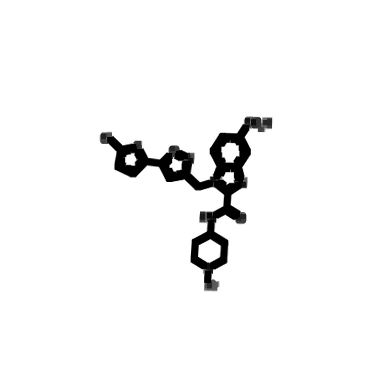 CC(C)N1CCC(NC(=O)c2nc3cc(C(=O)O)ccc3n2Cc2cc(-c3ccc(Cl)s3)on2)CC1